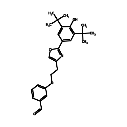 CC(C)(C)c1cc(-c2nc(CCOc3cccc(C=O)c3)co2)cc(C(C)(C)C)c1O